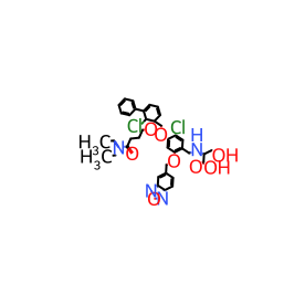 CCN(CC)C(=O)CCCOC1(COc2cc(OCc3ccc4nonc4c3)c(CNC(CO)C(=O)O)cc2Cl)C=CC=C(c2ccccc2)C1Cl